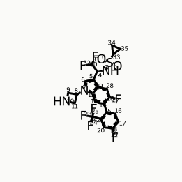 O=S(=O)(N[C@@H](c1cn(C2CNC2)c2cc(-c3ccc(F)cc3C(F)(F)F)c(F)cc12)C(F)F)C1CC1